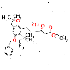 CCOC(=O)CC(=O)CC(O)CCc1c2c(cc(OCc3ccccc3)c1C(C)(C)C)CC(C)(C)O2